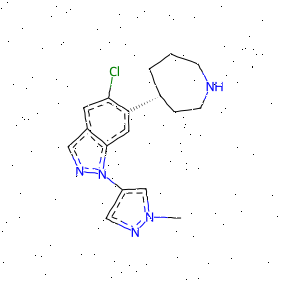 Cn1cc(-n2ncc3cc(Cl)c([C@@H]4CCCNCC4)cc32)cn1